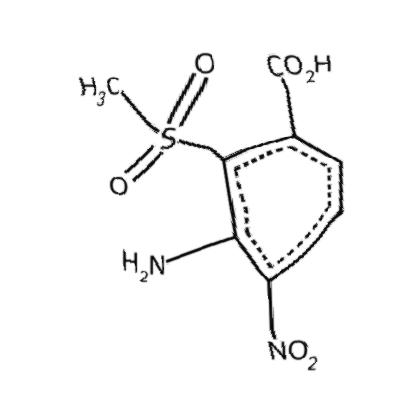 CS(=O)(=O)c1c(C(=O)O)ccc([N+](=O)[O-])c1N